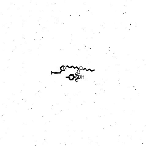 CCCCCCOC(=O)CCCCCN1CCC(CC#CI)C1.Cc1ccc(S(=O)(=O)O)cc1